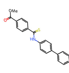 COC(=O)c1ccc(C(=S)Nc2ccc(-c3ccccc3)cc2)cc1